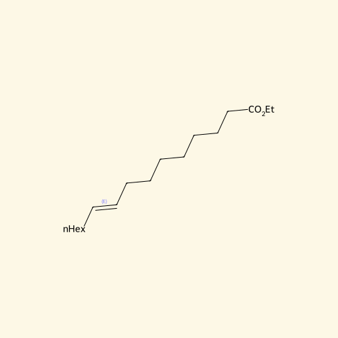 CCCCCC/C=C/CCCCCCCC(=O)OCC